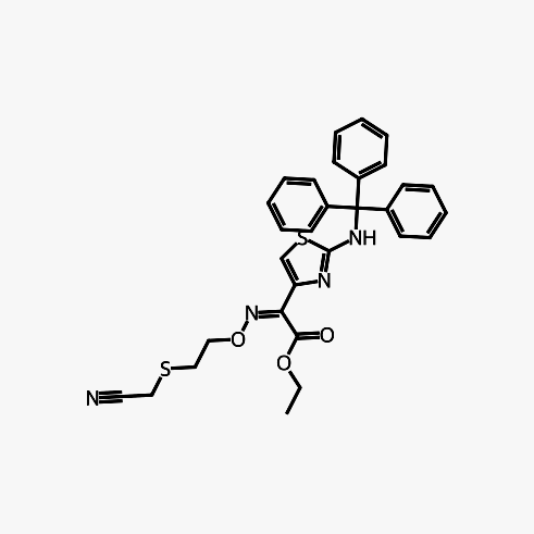 CCOC(=O)/C(=N\OCCSCC#N)c1csc(NC(c2ccccc2)(c2ccccc2)c2ccccc2)n1